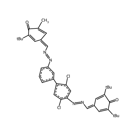 CC1=C/C(=C/N=N/c2cccc(-c3cc(Cl)c(/N=N/C=C4C=C(C(C)(C)C)C(=O)C(C(C)(C)C)=C4)cc3Cl)c2)C=C(C(C)(C)C)C1=O